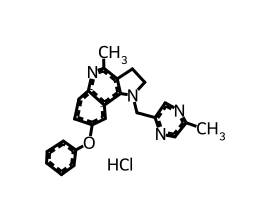 Cc1cnc(CN2CCc3c(C)nc4ccc(Oc5ccccc5)cc4c32)cn1.Cl